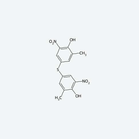 Cc1cc(Sc2cc(C)c(O)c([N+](=O)[O-])c2)cc([N+](=O)[O-])c1O